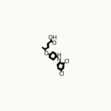 CC(C=CC(=O)O)Oc1ccc(Nc2ccc(Cl)cc2Cl)cc1